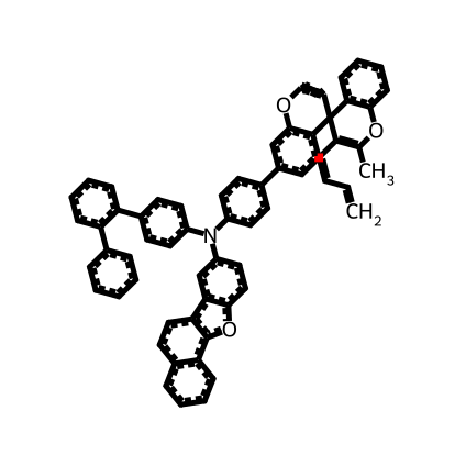 C=C/C=C\C1=C(C)Oc2ccccc2C12c1ccccc1Oc1cc(-c3ccc(N(c4ccc(-c5ccccc5-c5ccccc5)cc4)c4ccc5oc6c7ccccc7ccc6c5c4)cc3)ccc12